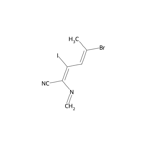 C=N/C(C#N)=C(I)\C=C(/C)Br